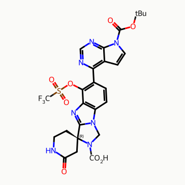 CC(C)(C)OC(=O)n1ccc2c(-c3ccc4c(nc5n4CN(C(=O)O)[C@@]54CCNC(=O)C4)c3OS(=O)(=O)C(F)(F)F)ncnc21